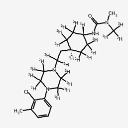 [2H]C([2H])([2H])N(C)C(=O)N[C@]1([2H])C([2H])([2H])C([2H])([2H])[C@@]([2H])(CC([2H])([2H])N2C([2H])([2H])C([2H])([2H])N(c3cccc(C)c3Cl)C([2H])([2H])C2([2H])[2H])C([2H])([2H])C1([2H])[2H]